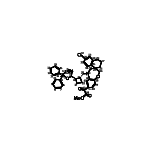 C=CC(O[Si](c1ccccc1)(c1ccccc1)C(C)(C)C)[C@@H]1CC[C@H]1CN1C[C@@]2(CCCc3cc(Cl)ccc32)COc2ccc(C(=O)C(=O)OC)cc21